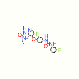 CCN1Cc2c(Oc3ccc(NC(=O)Nc4cccc(F)c4)cc3F)ccnc2NC1=O